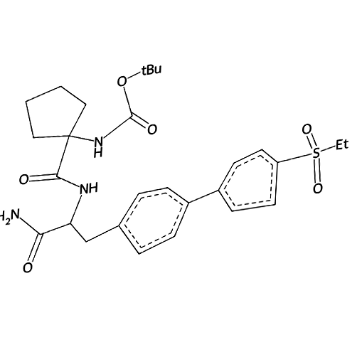 CCS(=O)(=O)c1ccc(-c2ccc(CC(NC(=O)C3(NC(=O)OC(C)(C)C)CCCC3)C(N)=O)cc2)cc1